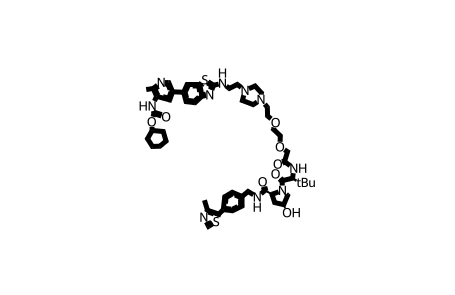 Cc1ncc(-c2ccc3nc(NCCN4CCN(CCOCCOCC(=O)N[C@H](C(=O)N5C[C@H](O)C[C@H]5C(=O)NCc5ccc(-c6scnc6C)cc5)C(C)(C)C)CC4)sc3c2)cc1NC(=O)OC1CCCCC1